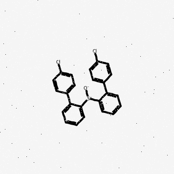 [O-][S+](c1ccccc1-c1ccc(Cl)cc1)c1ccccc1-c1ccc(Cl)cc1